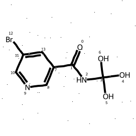 O=C(NC(O)(O)O)c1cncc(Br)c1